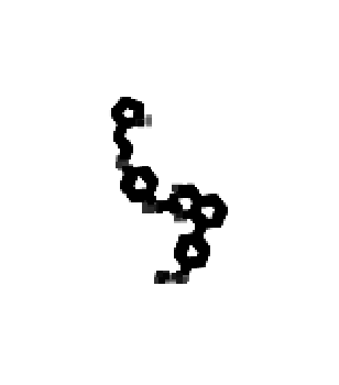 COc1ccc(-c2cccc3cnc(Nc4ccc(OCCC5CCCN5)cc4)nc23)cc1